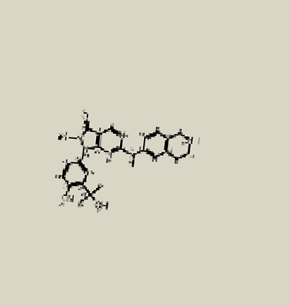 CC(C)n1c(=O)c2cnc(Nc3ccc4c(c3)CCNC4)nc2n1-c1ccc(C#N)c(C(C)(C)O)c1